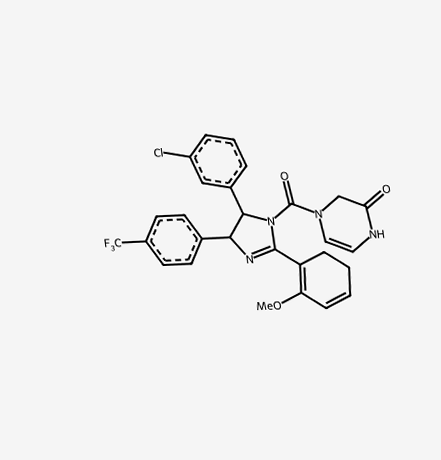 COC1=C(C2=NC(c3ccc(C(F)(F)F)cc3)C(c3cccc(Cl)c3)N2C(=O)N2C=CNC(=O)C2)CCC=C1